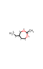 [CH2]CC1CCOC(C)OC1